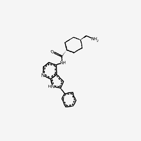 NC[C@H]1CC[C@H](C(=O)Nc2ccnc3[nH]c(-c4ccccc4)cc23)CC1